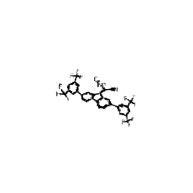 [C-]#[N+]C(C#N)=C1c2cc(-c3cc(C(F)(F)F)cc(C(F)(F)F)c3)ccc2-c2ccc(-c3cc(C(F)(F)F)cc(C(F)(F)F)c3)cc21